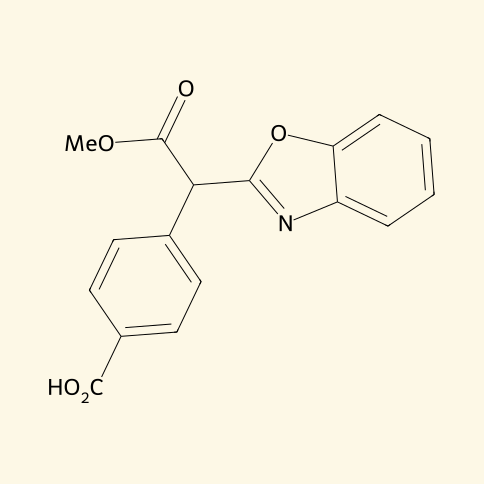 COC(=O)C(c1ccc(C(=O)O)cc1)c1nc2ccccc2o1